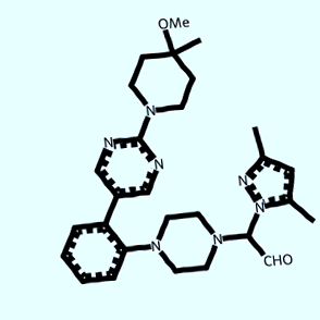 COC1(C)CCN(c2ncc(-c3ccccc3N3CCN(C(C=O)n4nc(C)cc4C)CC3)cn2)CC1